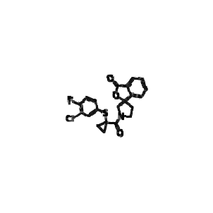 O=C1OC2(CCN(C(=O)C3(Sc4ccc(F)c(Cl)c4)CC3)C2)c2ccccc21